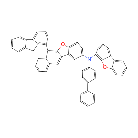 c1ccc(-c2ccc(N(c3ccc4oc5c(-c6cccc7c6Cc6ccccc6-7)c6ccccc6cc5c4c3)c3cccc4c3oc3ccccc34)cc2)cc1